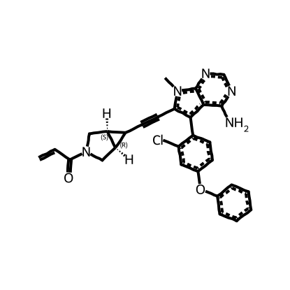 C=CC(=O)N1C[C@@H]2C(C#Cc3c(-c4ccc(Oc5ccccc5)cc4Cl)c4c(N)ncnc4n3C)[C@@H]2C1